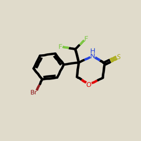 FC(F)C1(c2cccc(Br)c2)COCC(=S)N1